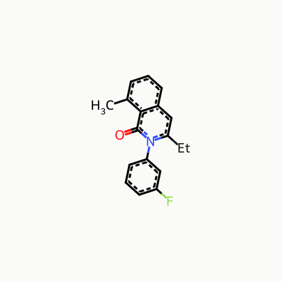 CCc1cc2cccc(C)c2c(=O)n1-c1cccc(F)c1